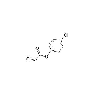 O=CC(=O)Oc1ccc(Cl)cc1